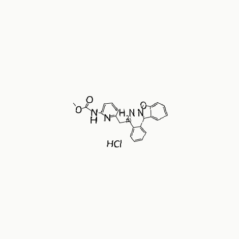 COC(=O)Nc1cccc(C[C@H](N)c2ccccc2-c2noc3ccccc23)n1.Cl